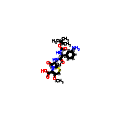 COC1=C(C(=O)O)N2C(=O)[C@@H](NC(=O)C(NC(=O)OC(C)(C)C)c3cccc(N)c3)[C@@H]2SC1